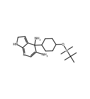 CC(C)(C)[Si](C)(C)OC1CCC(C2(N)C(N)=CN=C3NCC=C32)CC1